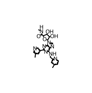 CNC(=O)C1OC(n2cnc3c(NCc4cc(C)ccn4)nc(-c4cncc(C)c4)nc32)C(O)C1O